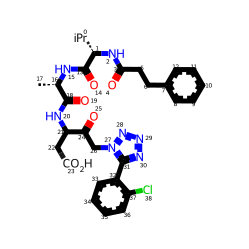 CC(C)[C@H](NC(=O)CCc1ccccc1)C(=O)N[C@@H](C)C(=O)NC(CC(=O)O)C(=O)Cn1nnnc1-c1ccccc1Cl